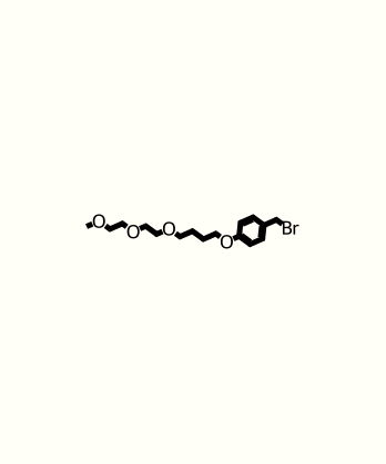 COCCOCCOCCCCOc1ccc(CBr)cc1